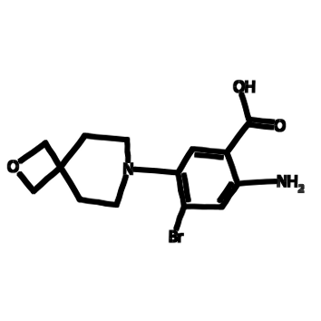 Nc1cc(Br)c(N2CCC3(CC2)COC3)cc1C(=O)O